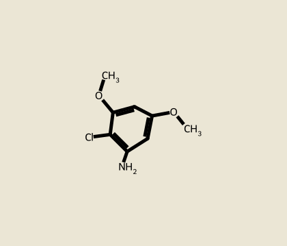 COc1cc(N)c(Cl)c(OC)c1